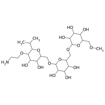 COCC1OC(OCC2OC(OCC3OC(C(C)C)C(OCCN)C(O)C3O)C(O)C(O)C2O)C(O)C(O)C1O